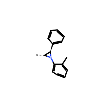 Cc1ccccc1N1[C@H](C)[C@H]1c1ccccc1